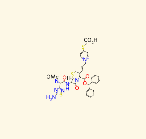 CO/N=C(\C(=O)NC1C(=O)N2C(C(=O)OC(c3ccccc3)c3ccccc3)=C(/C=C/C[n+]3ccc(SCC(=O)O)cc3)CS[C@H]12)c1nsc(N)n1